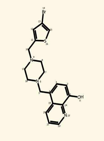 Oc1ccc(CN2CCN(Cc3cc(Br)cs3)CC2)c2cccnc12